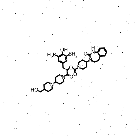 Bc1cc(C[C@@H](OC(=O)N2CCC(N3CCc4ccccc4NC3=O)CC2)C(=O)N2CCC(N3CCC(CO)CC3)CC2)cc(B)c1O